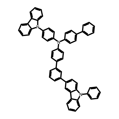 c1ccc(-c2ccc(N(c3ccc(-c4cccc(-c5ccc6c(c5)c5ccccc5n6-c5ccccc5)c4)cc3)c3ccc(-n4c5ccccc5c5ccccc54)cc3)cc2)cc1